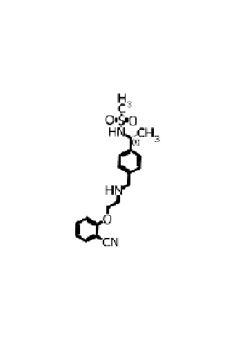 C[C@@H](NS(C)(=O)=O)c1ccc(CNCCOc2ccccc2C#N)cc1